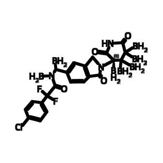 BC(c1ccc2c(c1)CN([C@]1(B)C(=O)NC(=O)C(B)(B)C1(B)B)C2=O)N(B)C(=O)C(F)(F)c1ccc(Cl)cc1